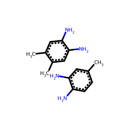 Cc1cc(N)c(N)cc1C.Cc1ccc(N)c(N)c1